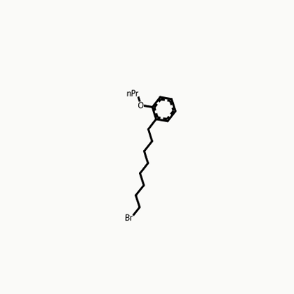 CCCOc1ccccc1CCCCCCCCBr